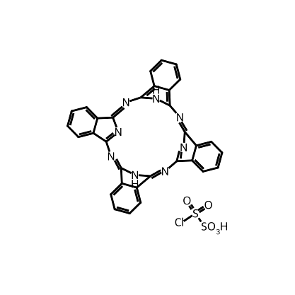 O=S(=O)(O)S(=O)(=O)Cl.c1ccc2c(c1)-c1nc-2nc2[nH]c(nc3nc(nc4[nH]c(n1)c1ccccc41)-c1ccccc1-3)c1ccccc21